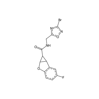 O=C(NCc1nc(Br)no1)C1C2Oc3ccc(F)cc3C21